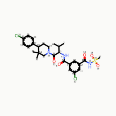 CC(C)[C@@H](NC(=O)c1cc(Cl)cc(C(=O)NS(C)(=O)=O)c1)C(=O)N1CCC(c2ccc(Cl)cc2)C(C)(C)C1